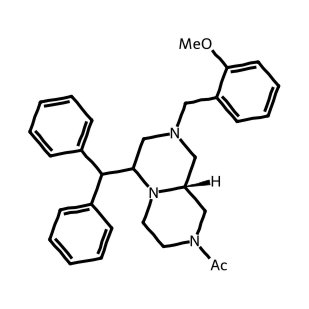 COc1ccccc1CN1CC(C(c2ccccc2)c2ccccc2)N2CCN(C(C)=O)C[C@H]2C1